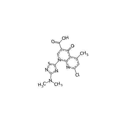 Cc1cc(Cl)nc2c1c(=O)c(C(=O)O)cn2-c1nc(N(C)C)ns1